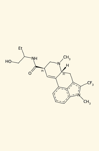 CCC(CO)NC(=O)[C@@H]1C=C2c3cccc4c3c(c(C(F)(F)F)n4C)C[C@H]2N(C)C1